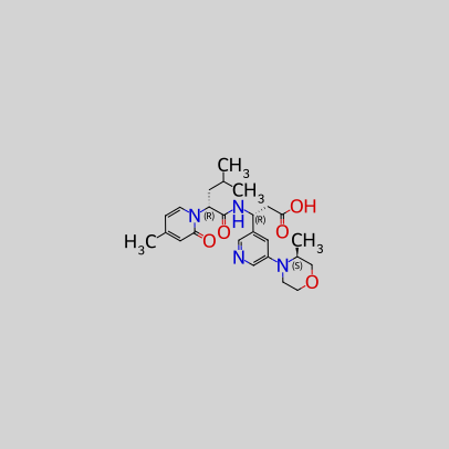 Cc1ccn([C@H](CC(C)C)C(=O)N[C@H](CC(=O)O)c2cncc(N3CCOC[C@@H]3C)c2)c(=O)c1